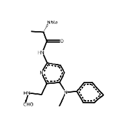 CN[C@@H](C)C(=O)Nc1ccc(N(C)c2ccccc2)c(CNC=O)n1